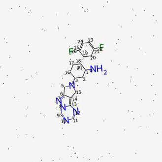 NC1CC(N2Cc3nn4cncnc4c3C2)CC[C@@H]1C1CC(F)=CC=C1F